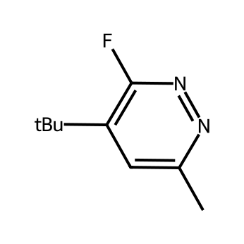 Cc1cc(C(C)(C)C)c(F)nn1